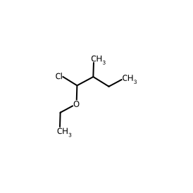 CCOC(Cl)C(C)CC